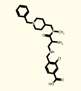 CN(CC1CCN(Cc2ccccc2)CC1)C(=O)C(N)CNCc1ccc(C(=O)O)cc1Cl